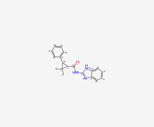 CC1(C)C(C(=O)Nc2nc3ccccc3[nH]2)C1c1ccccc1